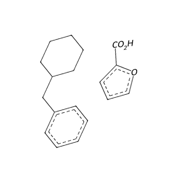 O=C(O)c1ccco1.c1ccc(CC2CCCCC2)cc1